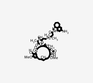 COc1cc2cc(c1Cl)N(C)C(=O)C[C@H](OC(=O)[C@H](C)N(C)C(=O)CCSSC(C)(C)CC(=O)N/N=C1/CCCCc3cc(N)ccc31)[C@@]1(C)C[C@H]1[C@H](C)[C@@H]1C[C@@](O)(NC(=O)O1)[C@H](OC)/C=C/C=C(\C)C2